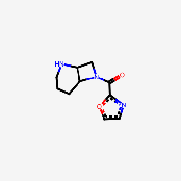 O=C(c1ncco1)N1CC2NCCCC21